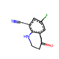 N#Cc1cc(F)cc2c1NCCC2=O